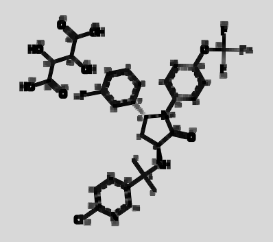 CC(C)(N[C@H]1C[C@H](c2cccc(F)c2)N(c2ccc(OC(F)(F)F)cc2)C1=O)c1ccc(Cl)nc1.O=C(O)C(O)C(O)C(=O)O